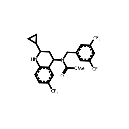 COC(=O)N(Cc1cc(C(F)(F)F)cc(C(F)(F)F)c1)C1CC(C2CC2)Nc2ccc(C(F)(F)F)cc21